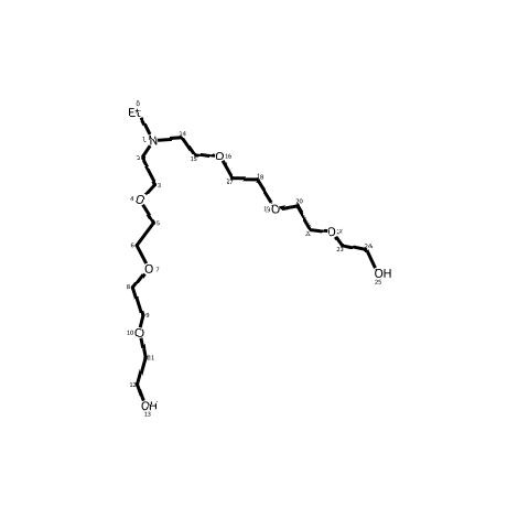 CCN(CCOCCOCCOCCO)CCOCCOCCOCCO